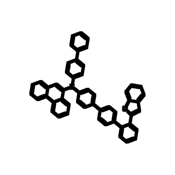 c1ccc(-c2ccc(N(c3ccc(-c4ccc(-c5ccccc5-c5cc6ccccc6o5)cc4)cc3)c3cc4ccccc4c4ccccc34)cc2)cc1